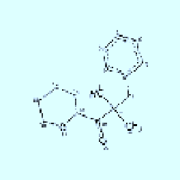 CC(C#N)(Cc1ccccc1)C(=O)C1CCCCO1